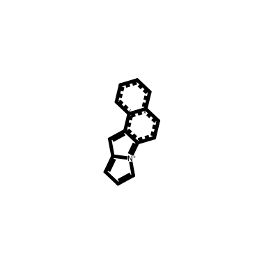 C1=C[N+]2=c3ccc4ccccc4c3=CC2=C1